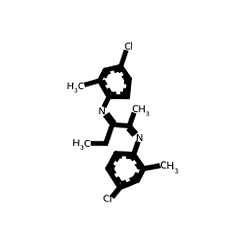 CCC(=N/c1ccc(Cl)cc1C)/C(C)=N\c1ccc(Cl)cc1C